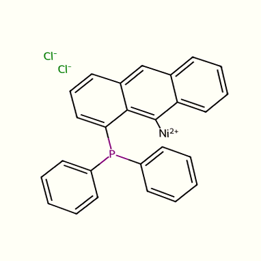 [Cl-].[Cl-].[Ni+2][c]1c2ccccc2cc2cccc(P(c3ccccc3)c3ccccc3)c12